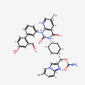 NC(=O)OC(c1cn2cc(F)ccc2n1)[C@H]1CC[C@@H](n2c(=O)c3cc(F)cnc3n(-c3cccc(-c4ccc(O)cc4C=O)c3)c2=O)CC1